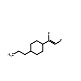 CCCC1CCC(C(F)=CF)CC1